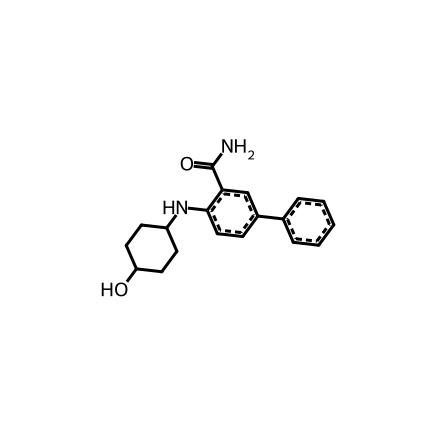 NC(=O)c1cc(-c2ccccc2)ccc1NC1CCC(O)CC1